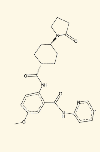 COc1ccc(NC(=O)[C@H]2CC[C@H](N3CCCC3=O)CC2)c(C(=O)Nc2ccc(Cl)cn2)c1